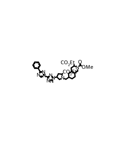 CCOC(=O)C1CC(n2nnc(-n3cnc(-c4ccccc4)n3)n2)CN1CC1CCC2CN(C(=O)OC)C(C(=O)OCC)CC2C1